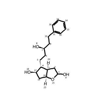 OC1C[C@@H]2[C@@H](CC[C@@H](O)CCc3ccccc3)[C@H](O)C[C@@H]2O1